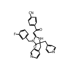 N#Cc1ccc(C(=O)C=C2NC(Cc3ccncc3)(Cc3ccncc3)C(=O)N2Cc2cccc(F)c2)cc1